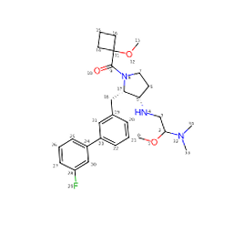 COC(CN[C@H]1CCN(C(=O)C2(OC)CCC2)[C@H]1Cc1cccc(-c2cccc(F)c2)c1)N(C)C